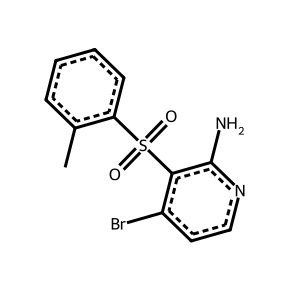 Cc1ccccc1S(=O)(=O)c1c(Br)ccnc1N